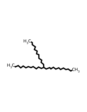 CCCCCCCCCC[CH]CC(CCCCCCCCCCCC)CCCCCCCCCCCC